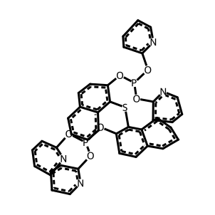 c1ccc(OP(Oc2ccccn2)Oc2ccc3ccccc3c2Sc2c(OP(Oc3ccccn3)Oc3ccccn3)ccc3ccccc23)nc1